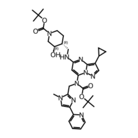 Cn1cc(-c2ccccn2)nc1CN(C(=O)OC(C)(C)C)c1cc(NC[C@H]2CCN(C(=O)OC(C)(C)C)C[C@@H]2O)nc2c(C3CC3)cnn12